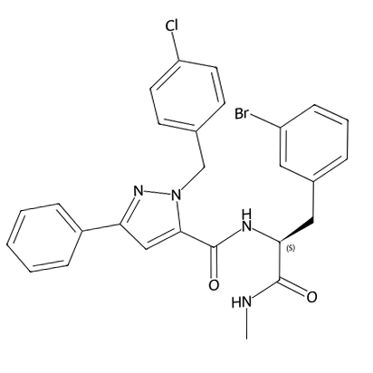 CNC(=O)[C@H](Cc1cccc(Br)c1)NC(=O)c1cc(-c2ccccc2)nn1Cc1ccc(Cl)cc1